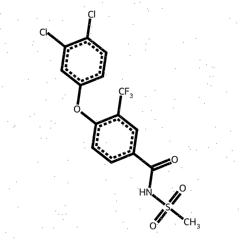 CS(=O)(=O)NC(=O)c1ccc(Oc2ccc(Cl)c(Cl)c2)c(C(F)(F)F)c1